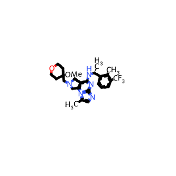 COC1(CN2Cc3c(N[C@H](C)c4cccc(C(F)(F)F)c4C)nc4ncc(C)n4c3C2)CCOCC1